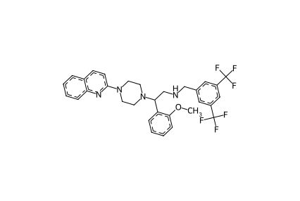 COc1ccccc1C(CNCc1cc(C(F)(F)F)cc(C(F)(F)F)c1)N1CCN(c2ccc3ccccc3n2)CC1